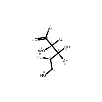 CC(=O)O[C@](C(C)=O)(C(=O)C(C)=O)[C@@](O)(C(C)=O)[C@H](O)CO